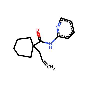 C=CCC1(C(=O)Nc2ccccn2)CCCCC1